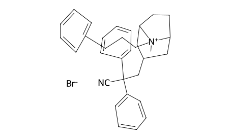 C[N+]1(CCCc2ccccc2)C2CCC1CC(CC(C#N)(c1ccccc1)c1ccccc1)C2.[Br-]